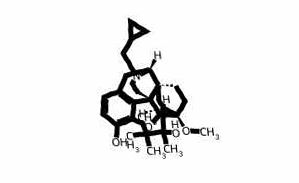 CO[C@]12CC[C@@]3(C[C@@H]1C(C)(O)C(C)(C)C)[C@H]1Cc4ccc(O)c5c4[C@@]3(CCN1CC1CC1)[C@H]2O5